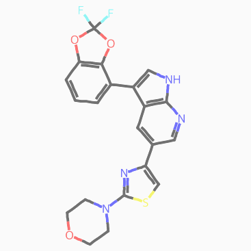 FC1(F)Oc2cccc(-c3c[nH]c4ncc(-c5csc(N6CCOCC6)n5)cc34)c2O1